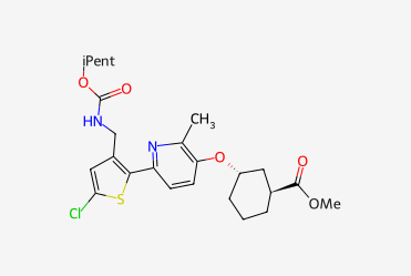 CCCC(C)OC(=O)NCc1cc(Cl)sc1-c1ccc(O[C@H]2CCC[C@H](C(=O)OC)C2)c(C)n1